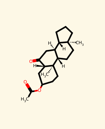 CC(=O)OC1CC[C@@]2(C)[C@H](C1)C(=O)C[C@H]1[C@@H]3CCC[C@@]3(C)CC[C@@H]12